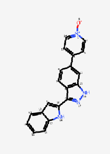 [O-][n+]1ccc(-c2ccc3c(-c4cc5ccccc5[nH]4)n[nH]c3c2)cc1